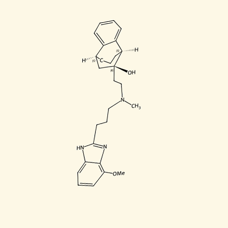 COc1cccc2[nH]c(CCCN(C)CC[C@]3(O)C[C@@H]4CCC[C@H]3c3ccccc34)nc12